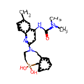 Cc1ccc2nc(N3CCS(O)(O)c4ccccc4C3)cc(NC(=O)N(C)C)c2c1